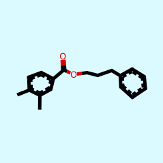 Cc1ccc(C(=O)OCCCc2ccccc2)cc1C